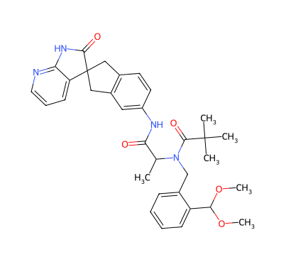 COC(OC)c1ccccc1CN(C(=O)C(C)(C)C)C(C)C(=O)Nc1ccc2c(c1)CC1(C2)C(=O)Nc2ncccc21